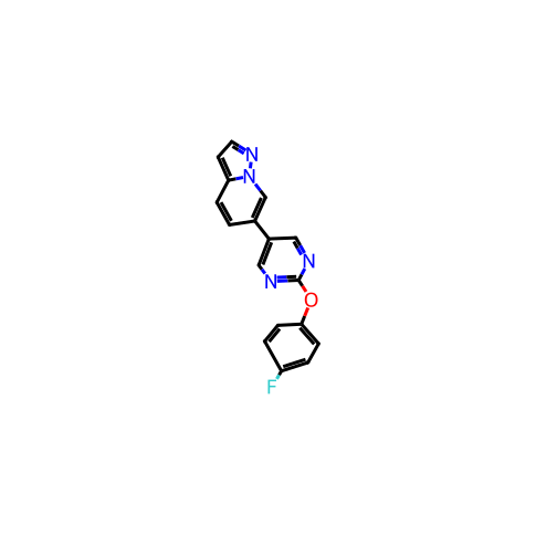 Fc1ccc(Oc2ncc(-c3ccc4ccnn4c3)cn2)cc1